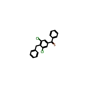 S=C(c1ccccc1)c1cc(Cl)c(Cc2ccccc2)c(Cl)c1